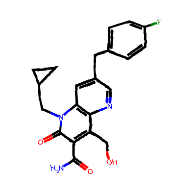 NC(=O)c1c(CO)c2ncc(Cc3ccc(F)cc3)cc2n(CC2CC2)c1=O